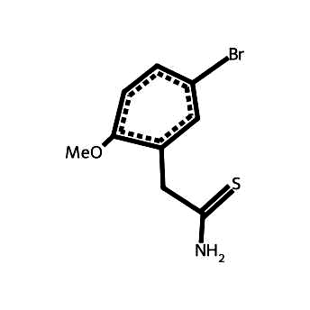 COc1ccc(Br)cc1CC(N)=S